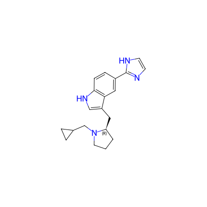 c1c[nH]c(-c2ccc3[nH]cc(C[C@H]4CCCN4CC4CC4)c3c2)n1